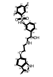 Cc1n[nH]c2cc(OCCNC[C@H](O)c3cccc(NS(=O)(=O)c4cc(F)ccc4F)c3)ccc12